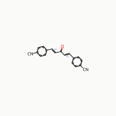 [C-]#[N+]c1ccc(/C=C/C(=O)/C=C/c2ccc(C#N)cc2)cc1